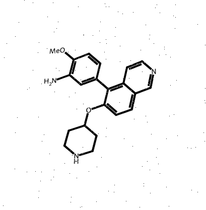 COc1ccc(-c2c(OC3CCNCC3)ccc3cnccc23)cc1N